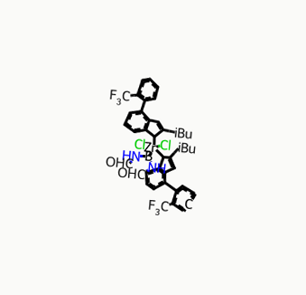 CCC(C)C1=Cc2c(-c3ccccc3C(F)(F)F)cccc2[CH]1[Zr]([Cl])([Cl])([B](NC=O)NC=O)[CH]1C(C(C)CC)=Cc2c(-c3ccccc3C(F)(F)F)cccc21